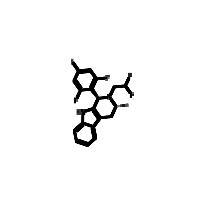 C[C@@H]1Cc2c([nH]c3ccccc23)[C@@H](c2c(F)cc(I)cc2F)N1CC(F)F